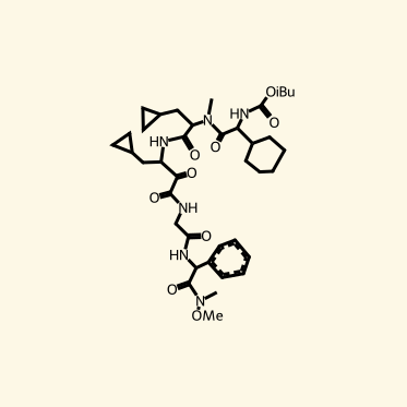 CON(C)C(=O)C(NC(=O)CNC(=O)C(=O)C(CC1CC1)NC(=O)C(CC1CC1)N(C)C(=O)C(NC(=O)OCC(C)C)C1CCCCC1)c1ccccc1